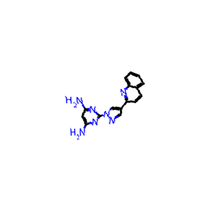 Nc1cc(N)nc(-n2cc(-c3ccc4ccccc4n3)cn2)n1